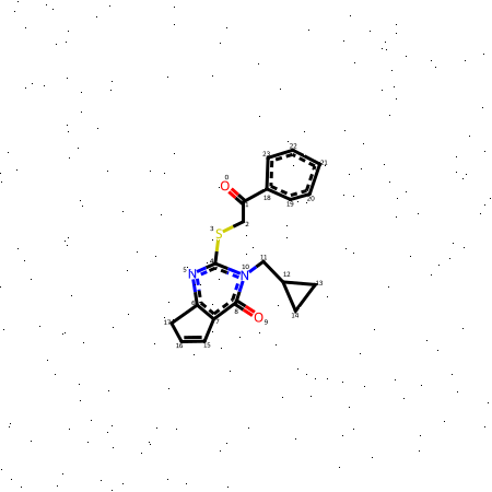 O=C(CSc1nc2c(c(=O)n1CC1CC1)C=CC2)c1ccccc1